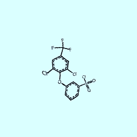 O=S(=O)(Cl)c1cccc(Oc2c(Cl)cc(C(F)(F)F)cc2Cl)c1